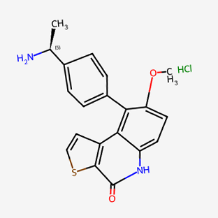 COc1ccc2[nH]c(=O)c3sccc3c2c1-c1ccc([C@H](C)N)cc1.Cl